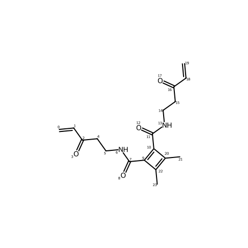 C=CC(=O)CCNC(=O)C1=C(C(=O)NCCC(=O)C=C)C(C)=C1C